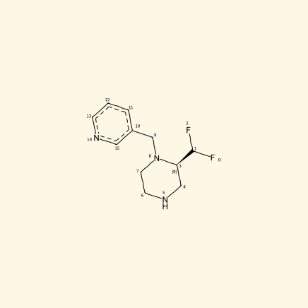 FC(F)[C@H]1CNCCN1Cc1cccnc1